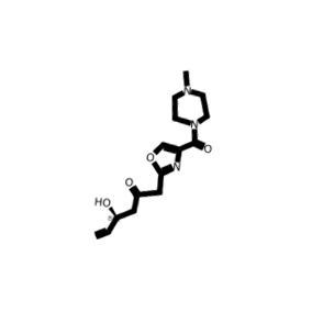 C=C[C@@H](O)CC(=O)Cc1nc(C(=O)N2CCN(C)CC2)co1